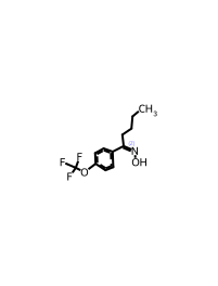 CCCC/C(=N/O)c1ccc(OC(F)(F)F)cc1